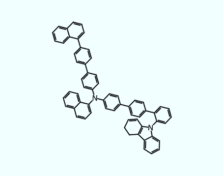 C1=Cc2c(c3ccccc3n2-c2ccccc2-c2ccc(-c3ccc(N(c4ccc(-c5ccc(-c6cccc7ccccc67)cc5)cc4)c4cccc5ccccc45)cc3)cc2)CC1